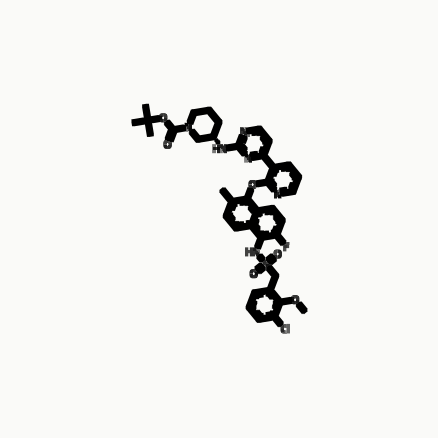 COc1c(Cl)cccc1CS(=O)(=O)Nc1c(F)ccc2c(Oc3ncccc3-c3ccnc(N[C@H]4CCCN(C(=O)OC(C)(C)C)C4)n3)c(C)ccc12